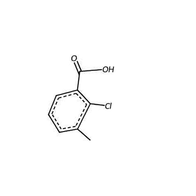 Cc1cccc(C(=O)O)c1Cl